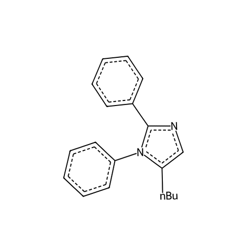 CCCCc1cnc(-c2ccccc2)n1-c1ccccc1